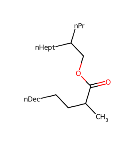 CCCCCCCCCCCCC(C)C(=O)OCC(CCC)CCCCCCC